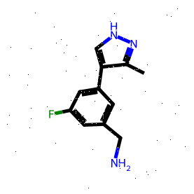 Cc1n[nH]cc1-c1cc(F)cc(CN)c1